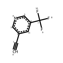 C#Cc1[c]ncc(C(F)(F)F)c1